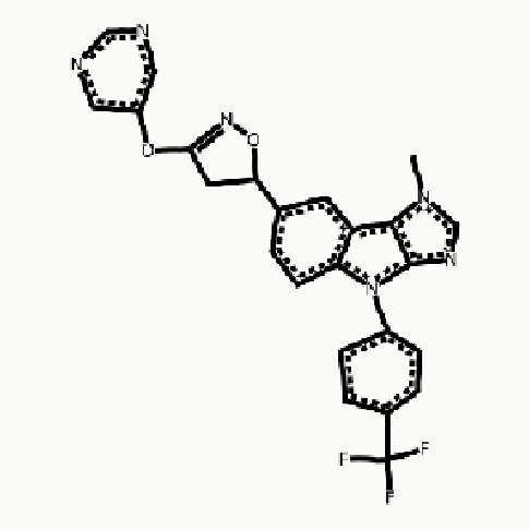 Cn1cnc2c1c1cc(C3CC(Oc4cncnc4)=NO3)ccc1n2-c1ccc(C(F)(F)F)cc1